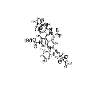 CC(C)(C)OC(=O)N[C@@H](Cc1cc(F)cc(F)c1)c1nc(C#CC(C)(C)S(=O)(=O)C2CC2)ccc1-c1ccc(Cl)c2c(NS(=O)(=O)C3(C)CC3)nn(CC(F)F)c12